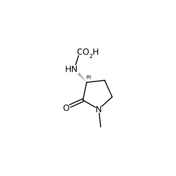 CN1CC[C@@H](NC(=O)O)C1=O